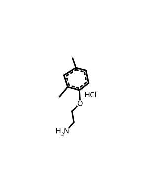 Cc1ccc(OCCN)c(C)c1.Cl